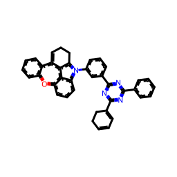 C1=CCCC(c2nc(-c3ccccc3)nc(-c3cccc(-n4c5c6c(c7ccccc7oc7cccc4c76)=CCC5)c3)n2)=C1